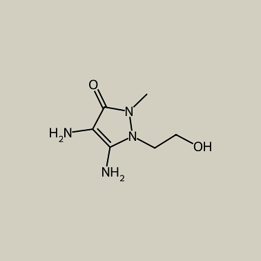 Cn1c(=O)c(N)c(N)n1CCO